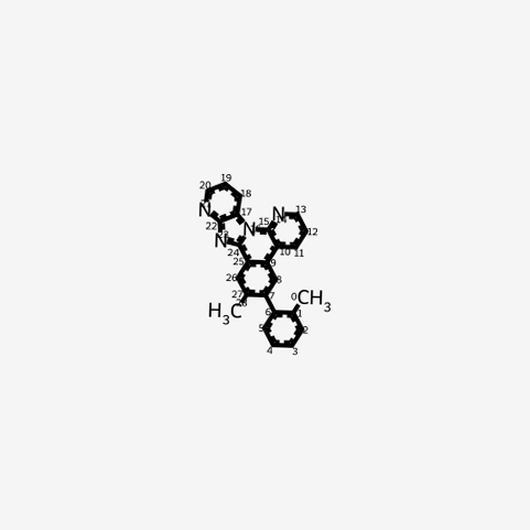 Cc1ccccc1-c1cc2c3cccnc3n3c4cccnc4nc3c2cc1C